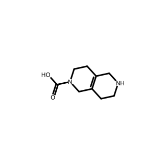 O=C(O)N1CCC2=C(CCNC2)C1